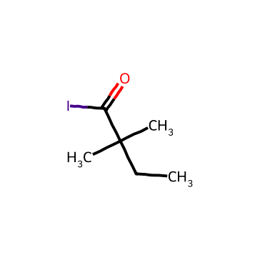 CCC(C)(C)C(=O)I